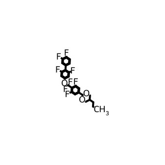 CCCC1COC(c2cc(F)c(C(F)(F)Oc3cc(F)c(-c4ccc(F)c(F)c4)c(F)c3)c(F)c2)OC1